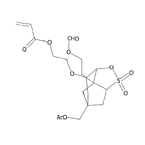 C=CC(=O)OCCOC1C2OS(=O)(=O)C3CC1(COC(C)=O)CC23CCOC=O